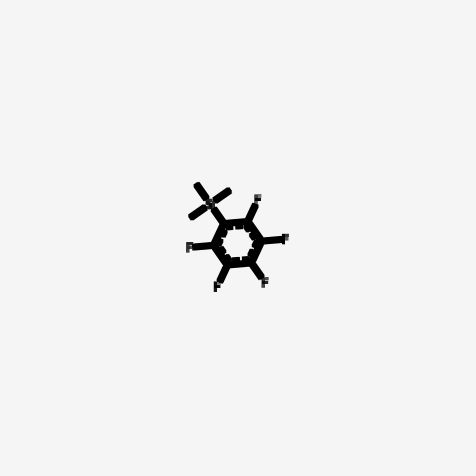 C[Si](C)(C)c1c(F)c(F)c(F)c(F)c1F